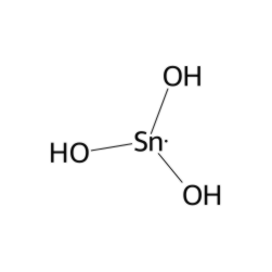 [OH][Sn]([OH])[OH]